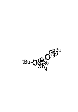 CCCCS(=O)(=O)Oc1ccc(S(=O)(=O)C(=[N+]=[N-])S(=O)(=O)c2ccc(C(C)(C)C)cc2)cc1